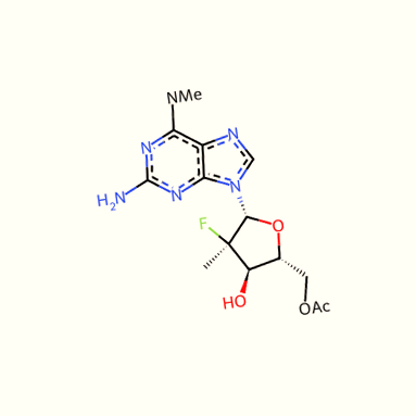 CNc1nc(N)nc2c1ncn2[C@@H]1O[C@H](COC(C)=O)[C@@H](O)[C@@]1(C)F